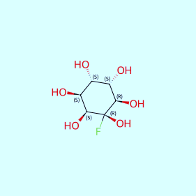 O[C@@H]1[C@H](O)[C@@H](O)[C@](O)(F)[C@@H](O)[C@H]1O